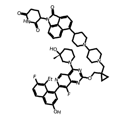 CCc1c(F)ccc2cc(O)cc(-c3ncc4c(N5CCC[C@@](C)(O)C5)nc(OCC5(CN6CCC(N7CCC(c8ccc9c%10c(cccc8%10)N(C8CCC(=O)NC8=O)C9=O)CC7)CC6)CC5)nc4c3F)c12